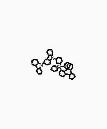 c1ccc([Si](c2ccccc2)(c2cccc(-n3c4ccccc4c4cc(-n5c6ccccc6c6ccccc65)ccc43)c2)c2cccc3c4ccccc4c4cccnc4c23)cc1